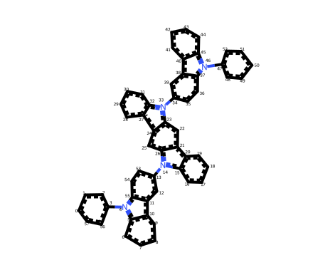 c1ccc(-n2c3ccccc3c3cc(-n4c5ccccc5c5cc6c(cc54)c4ccccc4n6-c4ccc5c(c4)c4ccccc4n5-c4ccccc4)ccc32)cc1